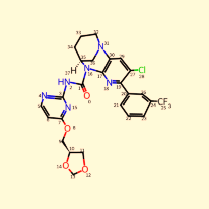 O=C(Nc1nccc(OC[C@H]2COCO2)n1)N1c2nc(-c3cccc(C(F)(F)F)c3)c(Cl)cc2N2CCC[C@H]1C2